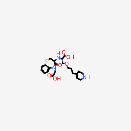 O=C(O)CN1C(=O)C(N[C@H](COCCCC2CCNCC2)C(=O)O)CSc2ccccc21